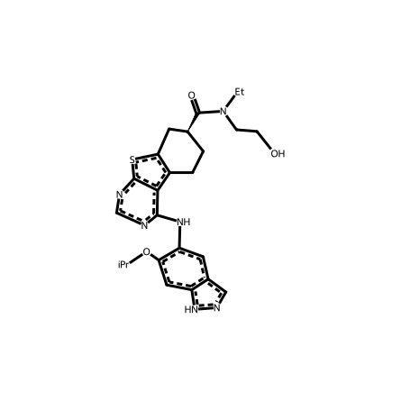 CCN(CCO)C(=O)[C@H]1CCc2c(sc3ncnc(Nc4cc5cn[nH]c5cc4OC(C)C)c23)C1